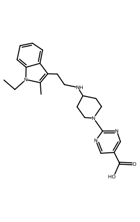 CCn1c(C)c(CCNC2CCN(c3ncc(C(=O)O)cn3)CC2)c2ccccc21